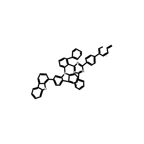 C=C/C=C\C(=C/C)c1ccc(-c2nc(-c3ccccc3)nc(-c3c(-c4ccccc4)cccc3-n3c4ccccc4c4ccc(-c5cccc6c5oc5ccccc56)cc43)n2)cc1